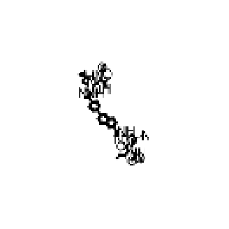 CC[C@H](C)[C@H](NC(=O)OC)C(=O)N1C[C@@H](C#N)C[C@H]1c1ncc(-c2ccc3cc(-c4ccc(-c5cnc([C@@H]6CC7(CC7)CN6C(O)[C@@H](NC(=O)OC)C(C)C)[nH]5)cc4)ccc3c2)[nH]1